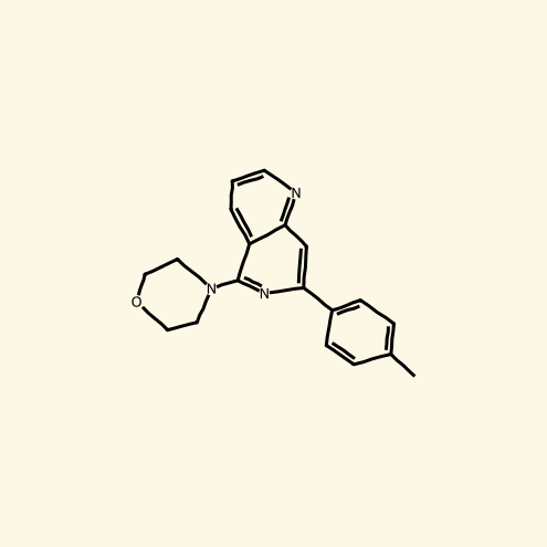 Cc1ccc(-c2cc3ncccc3c(N3CCOCC3)n2)cc1